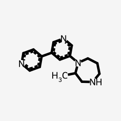 CC1CNCCCN1c1cncc(-c2ccncc2)c1